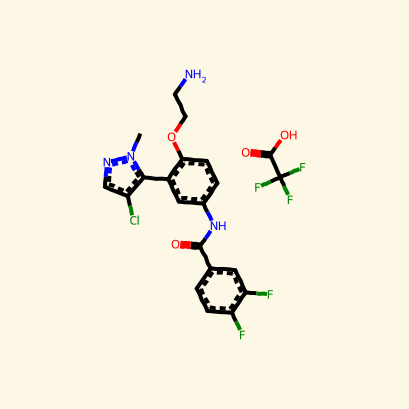 Cn1ncc(Cl)c1-c1cc(NC(=O)c2ccc(F)c(F)c2)ccc1OCCN.O=C(O)C(F)(F)F